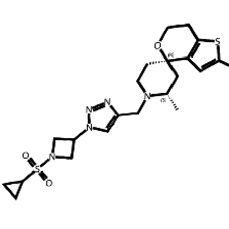 CCc1cc2c(s1)CCO[C@@]21CCN(Cc2cn(C3CN(S(=O)(=O)C4CC4)C3)nn2)[C@@H](C)C1